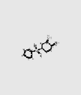 N=C1C=CC(S(=O)(=O)c2ccccc2)CC1=N